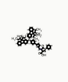 CCC(C)C1(C(C)CC)c2ccccc2-c2ccc(N(c3ccc(-c4ccc(/C=C5\C(=O)N(c6ccccc6)N=C5C(=O)O)s4)cc3)c3ccc4c(c3)C(C(C)CC)(C(C)CC)c3ccccc3-4)cc21